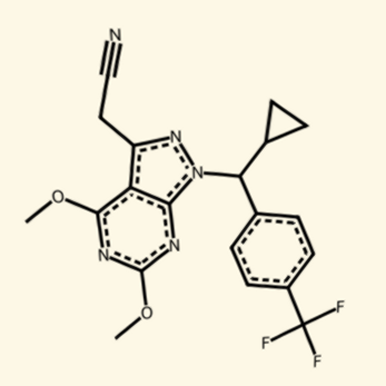 COc1nc(OC)c2c(CC#N)nn(C(c3ccc(C(F)(F)F)cc3)C3CC3)c2n1